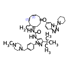 C=C1/C=C\C=C/C[C@H](Oc2ccc3nnc(N4CCCCC4)n3c2)CC[C@@H]1NC(=O)Nc1cc(C(C)(C)C)nn1-c1ccc(CN2CCN(C)CC2)cc1